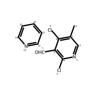 Cc1cnc(Cl)c(C=O)c1Cl.c1ccncc1